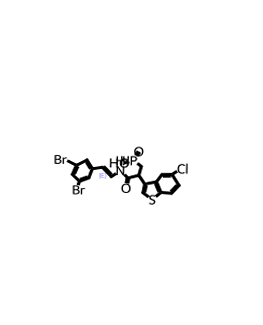 O=C(N/C=C/c1cc(Br)cc(Br)c1)C(C[PH](=O)O)c1csc2ccc(Cl)cc12